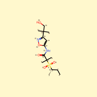 CC[C@H](C)S(=O)(=O)C(C)(C)C(=O)Nc1cc(C(C)(C)CO)no1